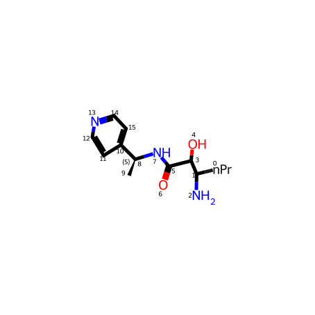 CCCC(N)C(O)C(=O)N[C@@H](C)c1ccncc1